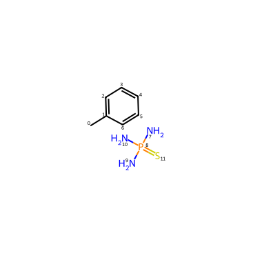 Cc1ccccc1.NP(N)(N)=S